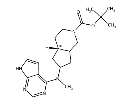 CN(c1ncnc2[nH]ccc12)C1CC2CN(C(=O)OC(C)(C)C)CC[C@H]2C1